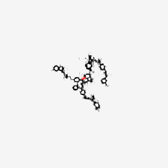 O=C(CCc1ccc(C(=O)N(N=C2C(=O)Nc3ccc(Br)cc32)C(Oc2ccccc2)C(=O)Nc2ccc(C(=O)NN=C3C(=O)Nc4ccc(Br)cc43)cc2)cc1)NN=C1C(=O)Nc2ccc(Br)cc21.O=C1Nc2ccc(Br)cc2C1=NNC(=O)c1ccc(CNC(=O)c2cccc([N+](=O)[O-])c2)cc1